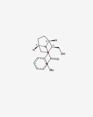 CC(C)(C)OC(=O)N1C[C@@H]2CC[C@H]([C@H]1CO)N2Cc1ccccc1